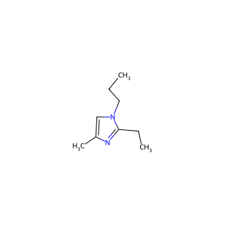 CCCn1cc(C)nc1CC